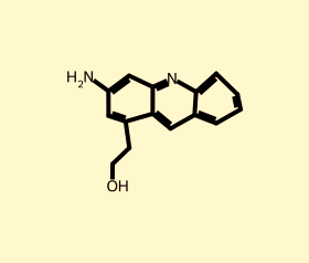 Nc1cc(CCO)c2cc3ccccc3nc2c1